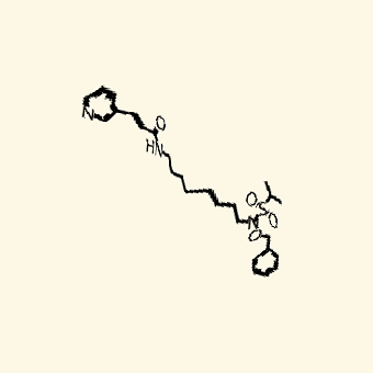 CC(C)S(=O)(=O)N(CCCCCCCCNC(=O)/C=C/c1cccnc1)OCc1ccccc1